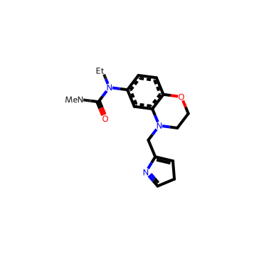 CCN(C(=O)NC)c1ccc2c(c1)N(CC1=CCC=N1)CCO2